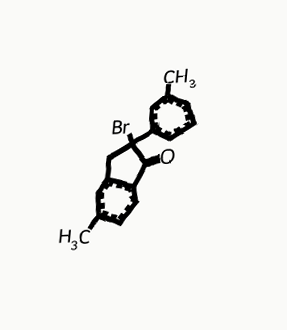 Cc1cccc(C2(Br)Cc3cc(C)ccc3C2=O)c1